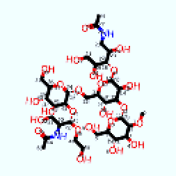 COC1C(O)[C@H](O)C(CO)O[C@@H]1OC1C(O)[C@H](O[C@H](C(O)CO)C(O)CNC(C)=O)OC(CO[C@H]2OC(CO)[C@@H](O)C(O)C2O[C@H](OCCO)C(CO)NC(C)=O)[C@H]1O